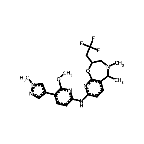 COc1nc(Nc2ccc3c(n2)OC(CC(F)(F)F)CN(C)C3C)ccc1-c1cnn(C)c1